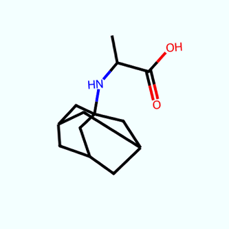 CC(NC12CC3CC(CC(C3)C1)C2)C(=O)O